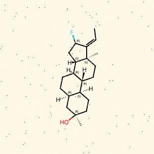 CC=C1[C@H](F)C[C@H]2[C@@H]3CC[C@@H]4C[C@](C)(O)CC[C@@H]4[C@H]3CC[C@]12C